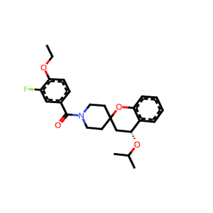 CCOc1ccc(C(=O)N2CCC3(CC2)C[C@@H](OC(C)C)c2ccccc2O3)cc1F